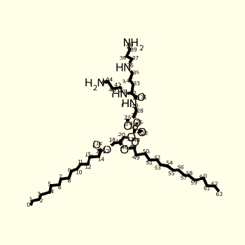 CCCCCCCCCCCCCCCC(=O)OCC(COP(=O)(OC)OCCNC(=O)C(CCCNCCCN)NCCCN)OC(=O)CCCCCCCCCCCCCCC